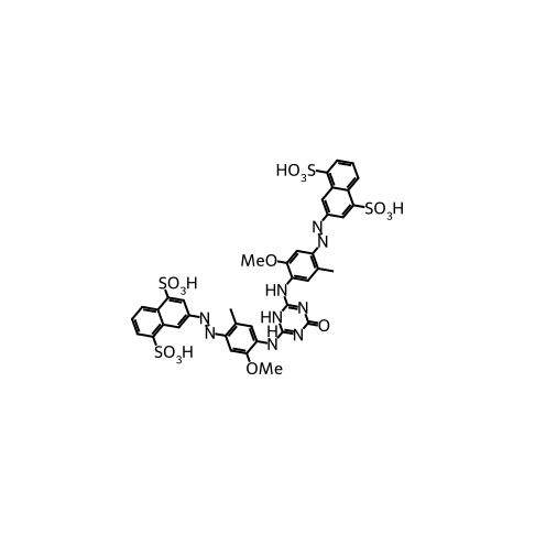 COc1cc(N=Nc2cc(S(=O)(=O)O)c3cccc(S(=O)(=O)O)c3c2)c(C)cc1Nc1nc(=O)nc(Nc2cc(C)c(/N=N/c3cc(S(=O)(=O)O)c4cccc(S(=O)(=O)O)c4c3)cc2OC)[nH]1